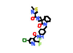 Cc1nc(C(=O)N2CC3(C2)C(=O)N(CC2CCC(NC(=O)c4cc(Cl)cnc4C(F)F)CC2)c2ccccc23)cs1